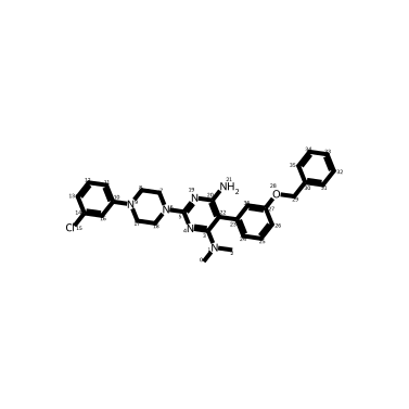 CN(C)c1nc(N2CCN(c3cccc(Cl)c3)CC2)nc(N)c1-c1cccc(OCc2ccccc2)c1